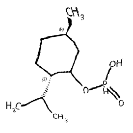 CC(C)[C@@H]1CC[C@@H](C)CC1O[PH](=O)O